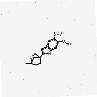 CC(C)Oc1cc2nc(C34CCC(C)(C3)OC4)cn2cc1C(=O)O